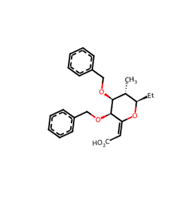 CC[C@H]1O/C(=C/C(=O)O)[C@@H](OCc2ccccc2)[C@@H](OCc2ccccc2)[C@@H]1C